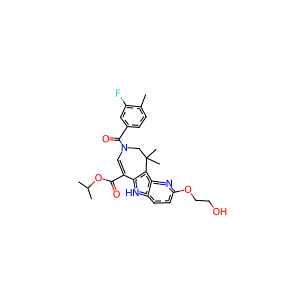 Cc1ccc(C(=O)N2C=C(C(=O)OC(C)C)c3[nH]c4ccc(OCCO)nc4c3C(C)(C)C2)cc1F